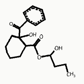 CCCC(O)OC(=O)C1CCCCC1(O)C(=O)c1ccccc1